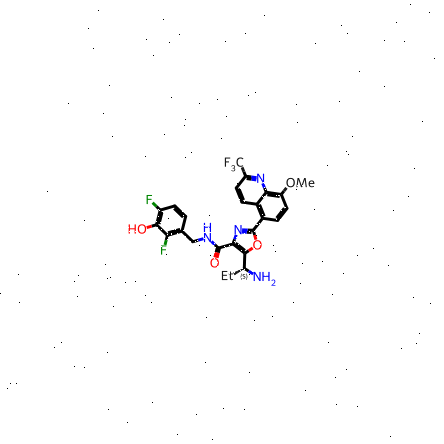 CC[C@H](N)c1oc(-c2ccc(OC)c3nc(C(F)(F)F)ccc23)nc1C(=O)NCc1ccc(F)c(O)c1F